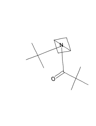 CC(C)(C)C(=O)N1C2CC(C2)C1C(C)(C)C